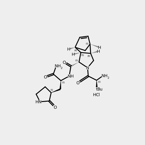 CC(C)(C)[C@H](N)C(=O)N1C[C@H]2[C@@H]([C@H]1C(=O)N[C@@H](C[C@@H]1CCNC1=O)C(N)=O)[C@H]1C=C[C@@H]2C1.Cl